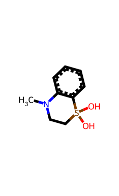 CN1CCS(O)(O)c2ccccc21